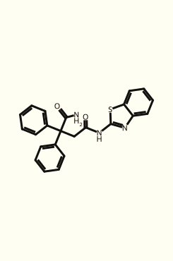 NC(=O)C(CC(=O)Nc1nc2ccccc2s1)(c1ccccc1)c1ccccc1